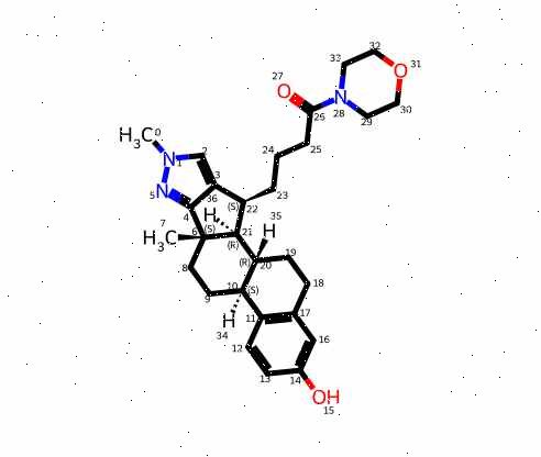 Cn1cc2c(n1)[C@@]1(C)CC[C@@H]3c4ccc(O)cc4CC[C@H]3[C@@H]1[C@@H]2CCCC(=O)N1CCOCC1